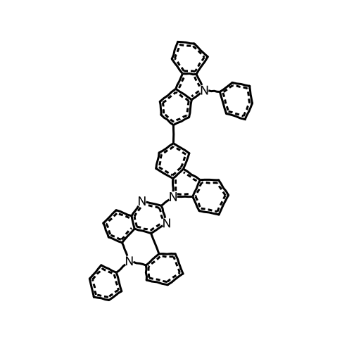 c1ccc(N2c3ccccc3-c3nc(-n4c5ccccc5c5cc(-c6ccc7c8ccccc8n(-c8ccccc8)c7c6)ccc54)nc4cccc2c34)cc1